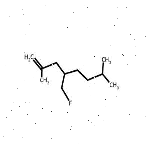 C=C(C)CC(CF)CCC(C)C